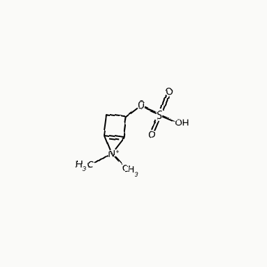 C[N+]1(C)C2=C1C(OS(=O)(=O)O)C2